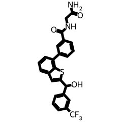 NC(=O)CNC(=O)c1cccc(-c2cccc3cc(C(O)c4cccc(C(F)(F)F)c4)sc23)c1